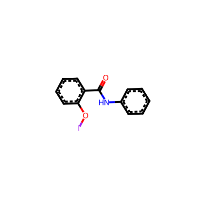 O=C(Nc1ccccc1)c1ccccc1OI